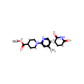 Cc1cc(N2CCC(C(=O)OC(C)(C)C)CC2)ncc1[C@H]1CCC(=O)NC1=O